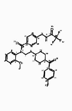 COc1ccccc1N(CCN1CCC(C(=O)c2ccc(F)cc2)CC1)C(=O)c1ccc(CNC(=O)C(F)(F)F)cc1